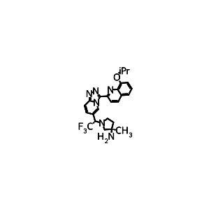 CC(C)Oc1cccc2ccc(-c3nnc4ccc([C@@H](N5CC[C@](C)(N)C5)C(F)(F)F)cn34)nc12